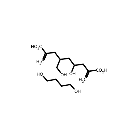 C=C(CC(O)CC(CO)CC(=C)C(=O)O)C(=O)O.OCCCCO